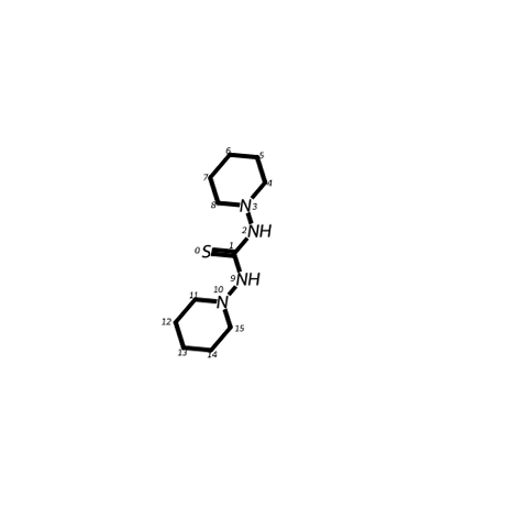 S=C(NN1CCCCC1)NN1CCCCC1